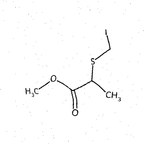 COC(=O)C(C)SCI